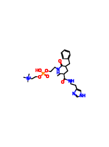 CCC(CC(Cc1ccccc1)C(=O)NCCOP(=O)(O)OCC[N+](C)(C)C)C(=O)NCCc1c[nH]cn1